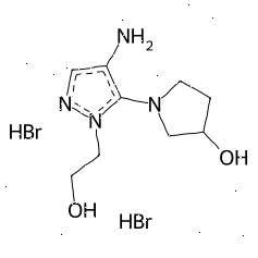 Br.Br.Nc1cnn(CCO)c1N1CCC(O)C1